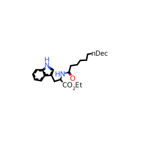 CCCCCCCCCCCCCCCC(=O)NC(Cc1c[nH]c2ccccc12)C(=O)OCC